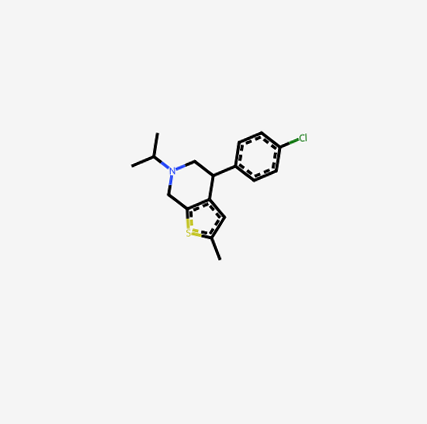 Cc1cc2c(s1)CN(C(C)C)CC2c1ccc(Cl)cc1